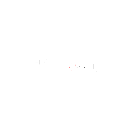 C=CC=COC(=O)CCCCCCC